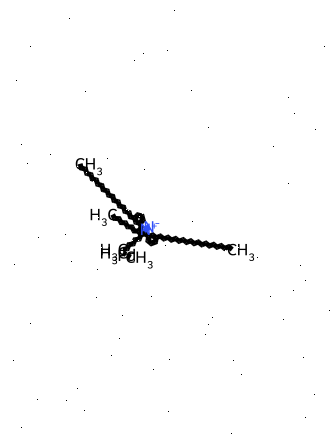 CCCCCCCCCCCCCCCCCCCCc1cccc(C2=C(CCCCCC)C(CCCCCCCC)=C(c3cccc(CCCCCCCCCCCCCCCCCCCC)c3)[N+]2=[N-])c1.[CH3][Pd][CH3]